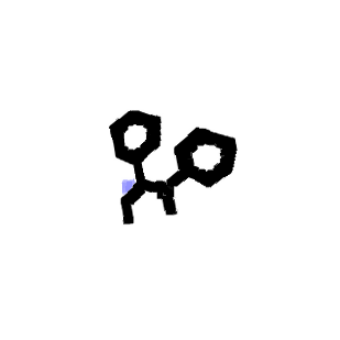 C/C=C(/c1ccccc1)N(C)c1ccccc1